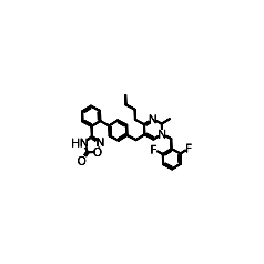 CCCCC1=NC(C)N(Cc2c(F)cccc2F)C=C1Cc1ccc(-c2ccccc2-c2noc(=O)[nH]2)cc1